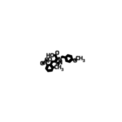 COc1ccc(Cn2nnc(C(=O)c3c(C)cccc3[N+](=O)[O-])c2C(=O)O)cc1